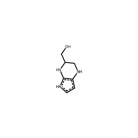 OCC1CNc2cc[nH]c2N1